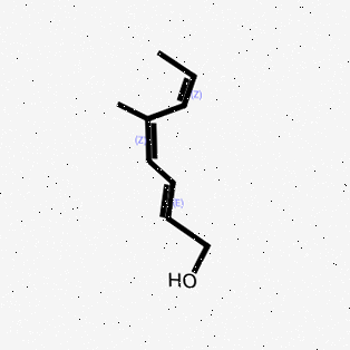 C\C=C/C(C)=C\C=C\CO